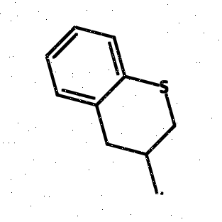 [CH2]C1CSc2ccccc2C1